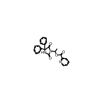 CC(OC(=O)c1ccccn1)N1C(=O)NC(c2ccccc2)(c2ccccc2)C1=O